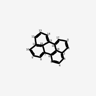 [c]1cc2cccc3c4cccc5cc[c]c(c(c1)c23)c54